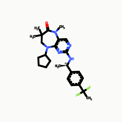 C[C@H](Nc1ncc2c(n1)N(C1CCCC1)CC(C)(C)C(=O)N2C)c1ccc(C(C)(F)F)cc1